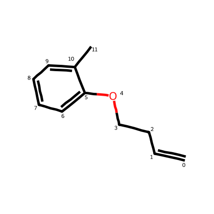 C=CCCOc1ccccc1C